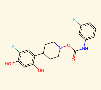 O=C(Nc1cccc(F)c1)ON1CCC(c2cc(F)c(O)cc2O)CC1